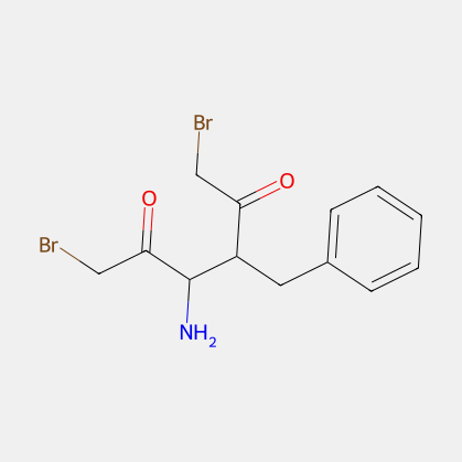 NC(C(=O)CBr)C(Cc1ccccc1)C(=O)CBr